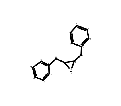 c1ccc(CC2OC2Cc2ccccc2)cc1